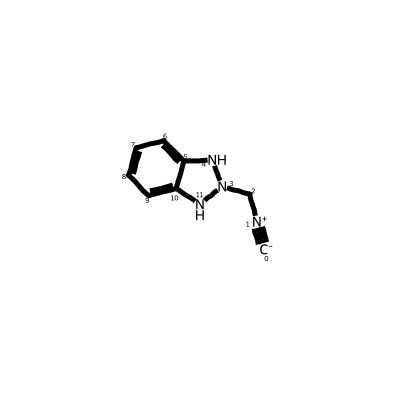 [C-]#[N+]CN1Nc2ccccc2N1